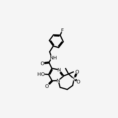 CC1(C)c2nc(C(=O)NCc3ccc(F)cc3)c(O)c(=O)n2CCCS1(=O)=O